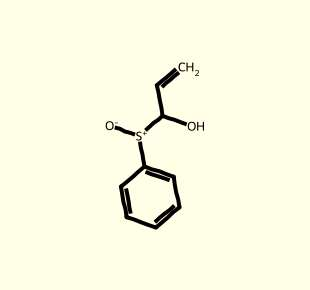 C=CC(O)[S+]([O-])c1ccccc1